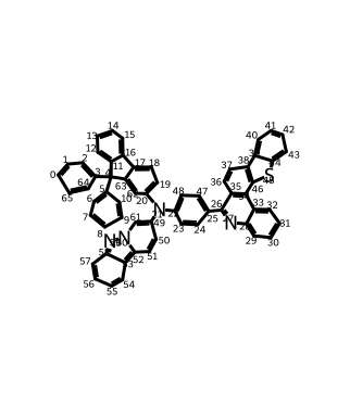 c1ccc(C2(c3ccccc3)c3ccccc3-c3ccc(N(c4ccc(-c5nc6ccccc6c6c5ccc5c7ccccc7sc56)cc4)c4ccc5c6ccccc6nn5c4)cc32)cc1